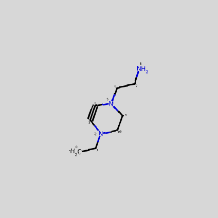 [CH2]CN1C#CN(CCN)CC1